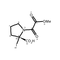 COC(=O)C(=O)N1CCC[C@]1(I)C(=O)O